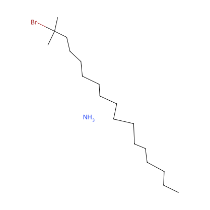 CCCCCCCCCCCCCCCC(C)(C)Br.N